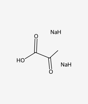 CC(=O)C(=O)O.[NaH].[NaH]